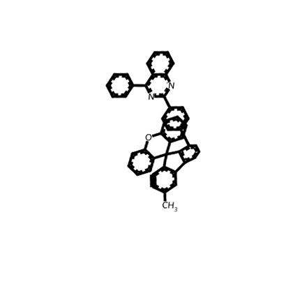 Cc1c#cc2c(c1)-c1cccc(-c3ccc(-c4nc(-c5ccccc5)c5ccccc5n4)cc3)c1C21c2ccccc2Oc2ccccc21